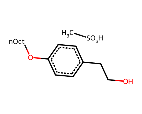 CCCCCCCCOc1ccc(CCO)cc1.CS(=O)(=O)O